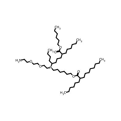 CCCCCCCCC(CCCCCC)C(=O)OCCCCCCN(CCOCCOCCN)C(CCCC)CCCC(CCCCCC)C(=O)OCCCCCC